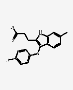 Cc1ccc2c(Sc3ccc(Cl)cc3)c(CCC(N)=O)[nH]c2c1